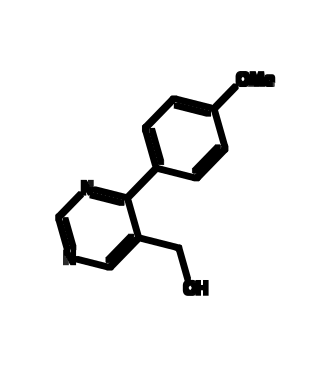 COc1ccc(-c2ncncc2CO)cc1